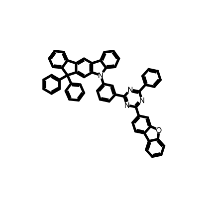 c1ccc(-c2nc(-c3cccc(-n4c5ccccc5c5cc6c(cc54)C(c4ccccc4)(c4ccccc4)c4ccccc4-6)c3)nc(-c3ccc4c(c3)oc3ccccc34)n2)cc1